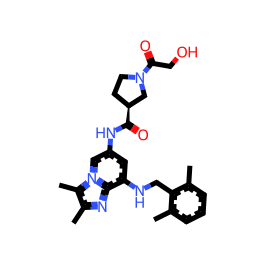 Cc1cccc(C)c1CNc1cc(NC(=O)[C@H]2CCN(C(=O)CO)C2)cn2c(C)c(C)nc12